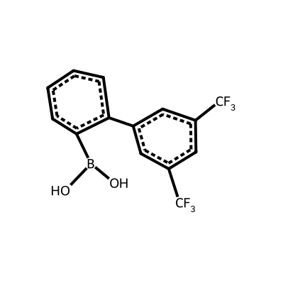 OB(O)c1ccccc1-c1cc(C(F)(F)F)cc(C(F)(F)F)c1